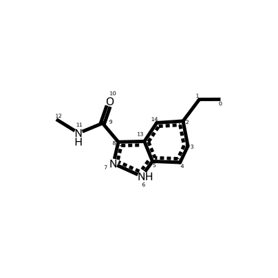 CCc1ccc2[nH]nc(C(=O)NC)c2c1